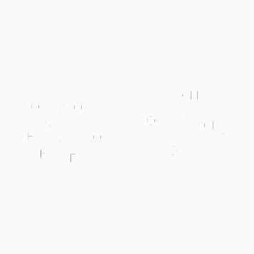 C=C(C)C(=O)OCCOC(=O)C(F)(F)S(=O)(=O)F